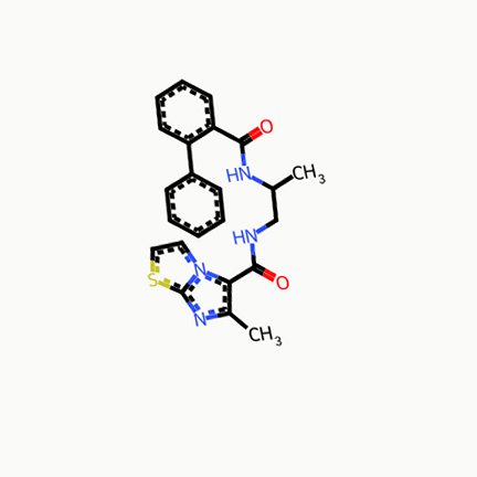 Cc1nc2sccn2c1C(=O)NCC(C)NC(=O)c1ccccc1-c1ccccc1